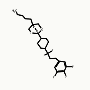 CCCCCC12COC(C3CCC(C(F)(F)CCc4cc(F)c(F)c(F)c4)CC3)(OC1)OC2